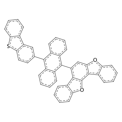 c1ccc2c(c1)oc1c2c(-c2c3ccccc3c(-c3ccc4sc5ccccc5c4c3)c3ccccc23)cc2oc3ccccc3c21